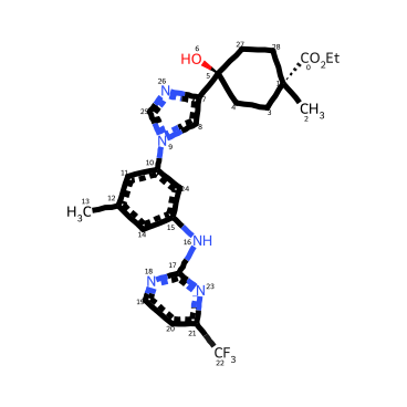 CCOC(=O)[C@]1(C)CC[C@](O)(c2cn(-c3cc(C)cc(Nc4nccc(C(F)(F)F)n4)c3)cn2)CC1